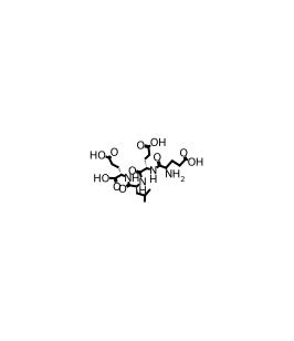 CC(C)C[C@H](NC(=O)[C@H](CCC(=O)O)NC(=O)[C@@H](N)CCC(=O)O)C(=O)N[C@@H](CCC(=O)O)C(=O)O